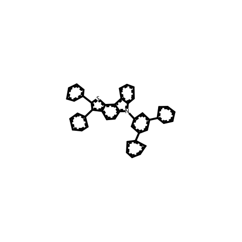 c1ccc(-c2cc(-c3ccccc3)cc(-n3c4ccccc4c4c5sc(-c6ccccc6)c(-c6ccccc6)c5ccc43)c2)cc1